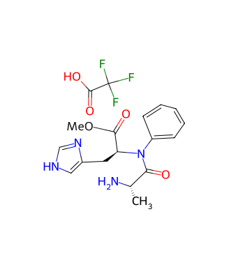 COC(=O)[C@H](Cc1c[nH]cn1)N(C(=O)[C@H](C)N)c1ccccc1.O=C(O)C(F)(F)F